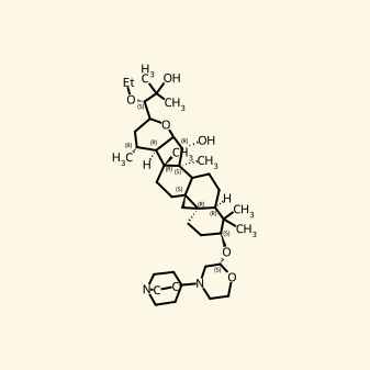 CCO[C@@H](C1C[C@@H](C)[C@H]2C(O1)[C@H](O)[C@@]1(C)C3CC[C@H]4C(C)(C)[C@@H](O[C@H]5CN(C67CCN(CC6)CC7)CCO5)CC[C@@]45C[C@@]35CC[C@]21C)C(C)(C)O